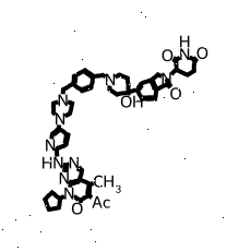 CC(=O)c1c(C)c2cnc(Nc3ccc(N4CCN(Cc5ccc(CN6CCC(O)(c7ccc8c(c7)CN(C7CCC(=O)NC7=O)C8=O)CC6)cc5)CC4)cn3)nc2n(C2CCCC2)c1=O